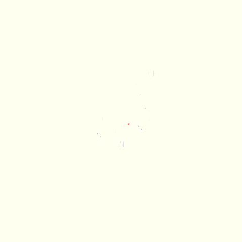 CCOC(=O)c1cc2cc(S(=O)(=O)N(CCc3ccccc3)c3ccccc3N3CCN(C(=O)c4ccccc4Cc4ccccc4)CC3)ccc2o1